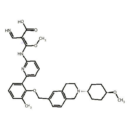 CO/C(Nc1cccc(-c2cccc(C)c2OCc2ccc3c(c2)CCN([C@H]2CC[C@H](OC)CC2)C3)n1)=C(/C=N)C(=O)O